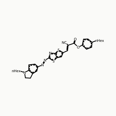 CCCCCCc1ccc(OC(=O)/C(C#N)=C/c2cc3sc(/N=N/c4ccc5c(c4)CCN5CCCCCC)nc3s2)cc1